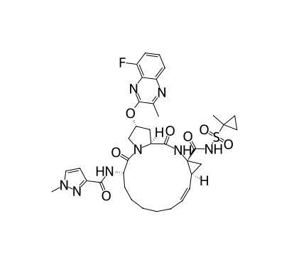 Cc1nc2cccc(F)c2nc1O[C@@H]1C[C@H]2C(=O)N[C@]3(C(=O)NS(=O)(=O)C4(C)CC4)C[C@H]3/C=C\CCCCC[C@H](NC(=O)c3ccn(C)n3)C(=O)N2C1